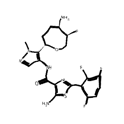 Cn1ncc(NC(=O)c2nc(-c3c(F)ccc(F)c3F)sc2N)c1[C@@H]1CC[C@@H](N)[C@@H](F)CO1